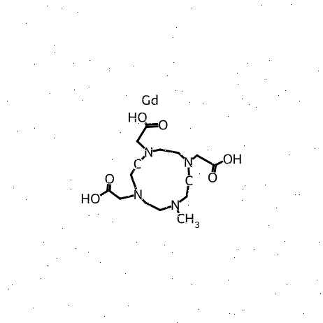 CN1CCN(CC(=O)O)CCN(CC(=O)O)CCN(CC(=O)O)CC1.[Gd]